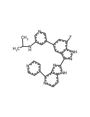 CC(C)Nc1cncc(-c2cc(F)c3[nH]nc(-c4nc5c(-c6ccncc6)nccc5[nH]4)c3c2)c1